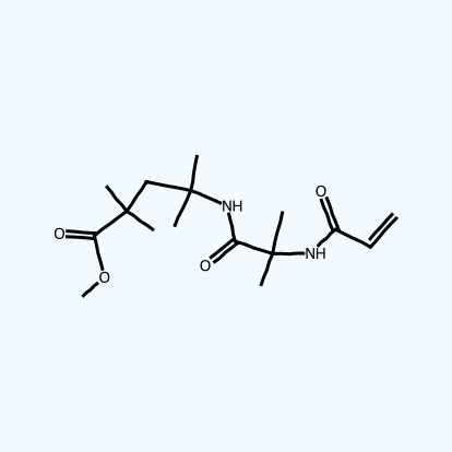 C=CC(=O)NC(C)(C)C(=O)NC(C)(C)CC(C)(C)C(=O)OC